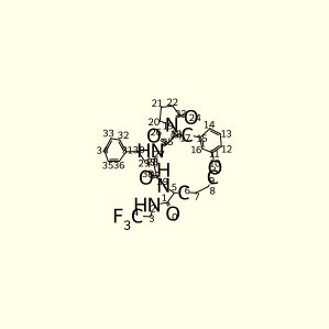 O=C(NCC(F)(F)F)C1CCCCOc2cccc(c2)C[C@H](N2CCCC2=O)C(=O)N[C@@H](CCc2ccccc2)C(=O)N1